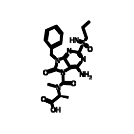 CCCS(=N)(=O)c1nc(N)c2c(n1)n(Cc1ccccc1)c(=O)n2C(=O)N(C)[C@@H](C)C(=O)O